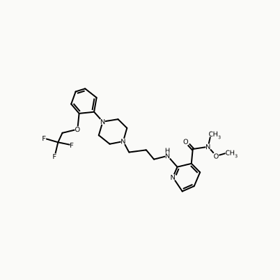 CON(C)C(=O)c1cccnc1NCCCN1CCN(c2ccccc2OCC(F)(F)F)CC1